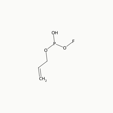 C=CCOP(O)OF